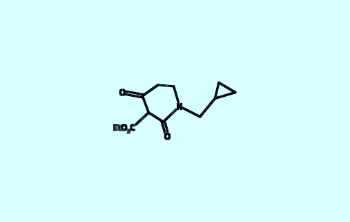 CCOC(=O)C1C(=O)CCN(CC2CC2)C1=O